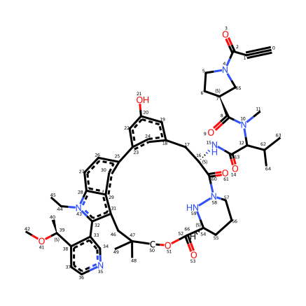 C#CC(=O)N1CC[C@H](C(=O)N(C)C(C(=O)N[C@H]2Cc3cc(O)cc(c3)-c3ccc4c(c3)c(c(-c3cnccc3[C@H](C)OC)n4CC)CC(C)(C)COC(=O)[C@@H]3CCCN(N3)C2=O)C(C)C)C1